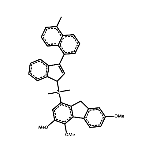 COc1ccc2c(c1)Cc1[c]([Zr]([CH3])([CH3])[CH]3C=C(c4cccc5c(C)cccc45)c4ccccc43)cc(OC)c(OC)c1-2